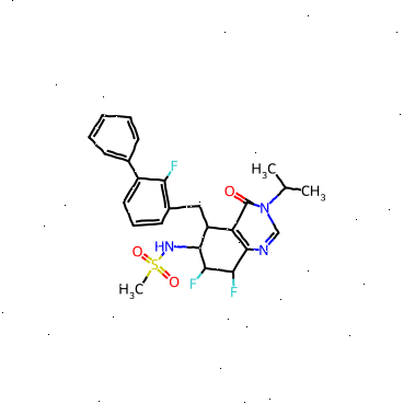 CC(C)n1cnc2c(c1=O)C(Cc1cccc(-c3ccccc3)c1F)C(NS(C)(=O)=O)C(F)C2F